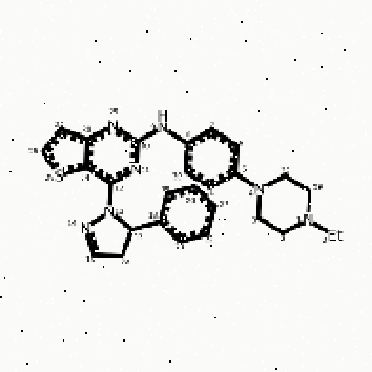 CCN1CCN(c2ccc(Nc3nc(N4N=CCC4c4ccccc4)c4sccc4n3)cc2)CC1